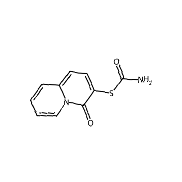 NC(=O)Sc1ccc2ccccn2c1=O